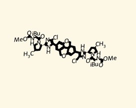 CC[C@H](C)[C@H](NC(=O)OC)C(=O)N1C[C@H](C)C[C@H]1c1nc(Cl)c(-c2cc3c4c(c2)OCc2cc(-c5[nH]c([C@@H]6C[C@@H](C)CN6C(=O)[C@@H](NC(=O)OC)[C@@H](C)CC)nc5Cl)cc(c2-4)OC3)[nH]1